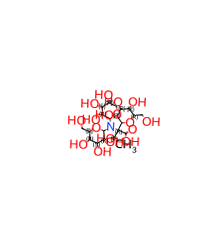 C[C@@H](O)[C@](C(=O)O)(C1O[C@H](CO)[C@H](O)[C@H](O)[C@H]1O)N(C1O[C@H](CO)[C@H](O)[C@H](O)[C@H]1O)C1OC[C@@H](O)[C@H](O)[C@H]1O